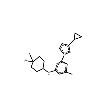 Cc1cc(NC2CCC(F)(F)CC2)nc(-n2ccc(C3CC3)n2)c1